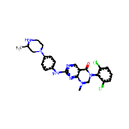 CN1CN(c2c(Cl)cccc2Cl)C(=O)c2cnc(Nc3ccc(N4CCNC(C(F)(F)F)C4)cc3)nc21